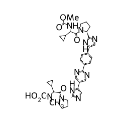 COC(=O)N[C@H](C(=O)N1CCC[C@H]1c1ncc(-c2ccc(-c3ncc(-c4cnc([C@@H]5CCCN5C(=O)[C@H](C5CC5)N(C)C(=O)O)[nH]4)cn3)cc2)[nH]1)C1CC1